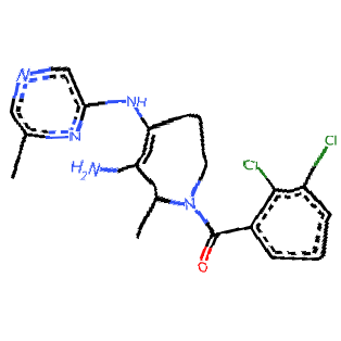 Cc1cncc(NC2=C(N)C(C)N(C(=O)c3cccc(Cl)c3Cl)CC2)n1